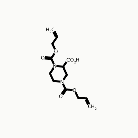 C=CCOC(=O)N1CCN(C(=O)OCC=C)C(C(=O)O)C1